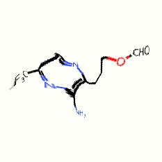 Nc1nc(C(F)(F)F)cnc1CCOC=O